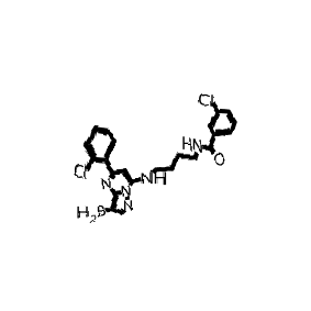 Bc1cnn2c(NCCCCNC(=O)c3cccc(Cl)c3)cc(-c3ccccc3Cl)nc12